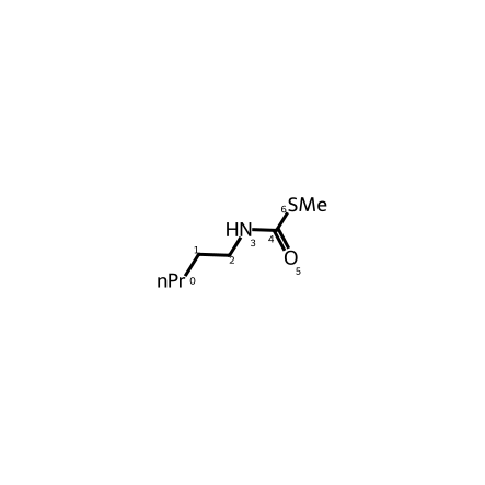 CCCCCNC(=O)SC